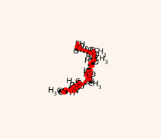 BC1CC(=O)N(CCCCCC(=O)N[C@H](C(=O)N[C@@H](C)C(=O)Nc2ccc(C3=CN4C(=O)c5cc(OC)c(OCCCOc6cc7c(cc6OC)C(=O)N6C=C(c8ccc(OC)cc8)C[C@H]6C=N7)cc5N=C[C@@H]4C3)cc2)C(C)C)C1=O